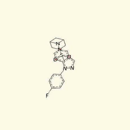 CS(=O)(=O)N1CC2CC(C1)N2c1ccc2c(cnn2-c2ccc(F)cc2)c1